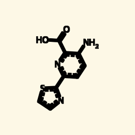 Nc1ccc(-c2nccs2)nc1C(=O)O